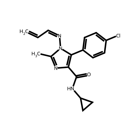 C=C/C=N\n1c(C)nc(C(=O)NC2CC2)c1-c1ccc(Cl)cc1